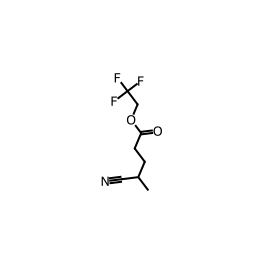 CC(C#N)CCC(=O)OCC(F)(F)F